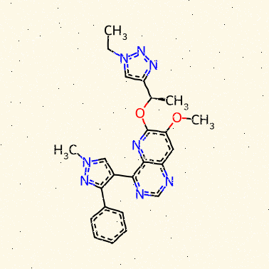 CCn1cc([C@@H](C)Oc2nc3c(-c4cn(C)nc4-c4ccccc4)ncnc3cc2OC)nn1